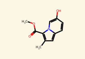 COC(=O)c1c(C)cc2ccc(O)cn12